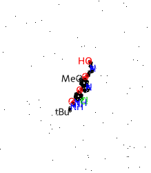 COc1cc2c(Oc3ccc(NC(=O)NCCC(C)(C)C)c(Cl)c3)ccnc2cc1OCCCN(C)CCO